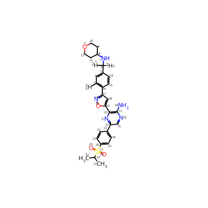 [2H]c1cc(C([2H])([2H])NC2CCOCC2)ccc1-c1cc(-c2nc(-c3ccc(S(=O)(=O)C(C)C)cc3)cnc2N)on1